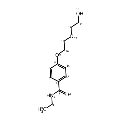 CCNC(=O)c1ccc(OCCOCCO)cc1